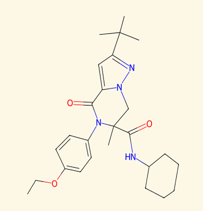 CCOc1ccc(N2C(=O)c3cc(C(C)(C)C)nn3CC2(C)C(=O)NC2CCCCC2)cc1